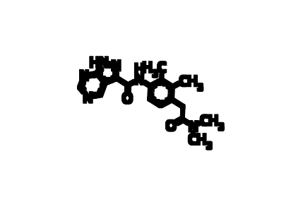 Cc1c(CC(=O)N(C)C)ccc(NC(=O)c2n[nH]c3ncncc23)c1C